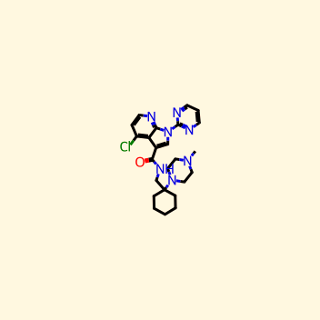 CN1CCN(C2(CNC(=O)c3cn(-c4ncccn4)c4nccc(Cl)c34)CCCCC2)CC1